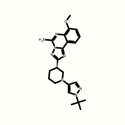 COc1cccc2c1nc(N)n1nc([C@@H]3CCCN(c4cnn(C(C)(C)C)c4)C3)nc21